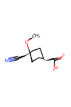 CO[C@]1(C#N)C[C@@H](C(=O)O)C1